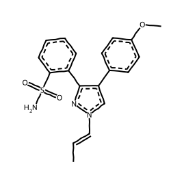 CC=Cn1cc(-c2ccc(OC)cc2)c(-c2ccccc2S(N)(=O)=O)n1